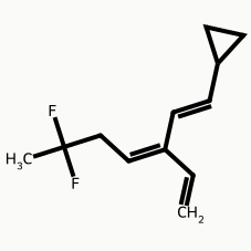 C=CC(=C/CC(C)(F)F)/C=C/C1CC1